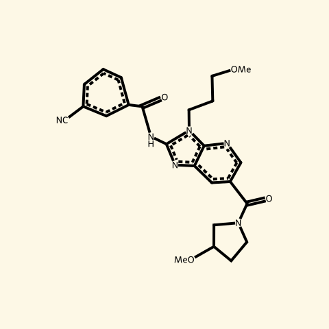 COCCCn1c(NC(=O)c2cccc(C#N)c2)nc2cc(C(=O)N3CCC(OC)C3)cnc21